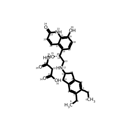 CCc1cc2c(cc1CC)CC(NC[C@H](O)c1ccc(O)c3[nH]c(=O)ccc13)C2.O=C(O)CC(=O)O